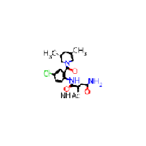 CC(=O)NC(CC(N)=O)C(=O)Nc1ccc(Cl)cc1C(=O)N1C[C@H](C)C[C@H](C)C1